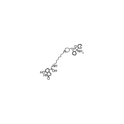 NC(C(=O)OCC1CCN(CCCCCCCCCNC[C@H](O)c2ccc(O)c3[nH]c(=O)ccc23)CC1)(c1ccccc1)c1ccccc1